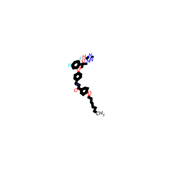 CCCCCCCCOc1ccc(C(=O)/C=C/c2ccc(OCC(O)(Cn3cncn3)c3ccc(F)cc3F)cc2)cc1